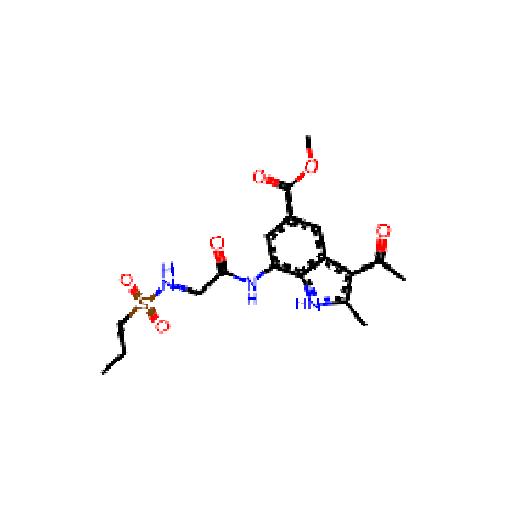 CCCS(=O)(=O)NCC(=O)Nc1cc(C(=O)OC)cc2c(C(C)=O)c(C)[nH]c12